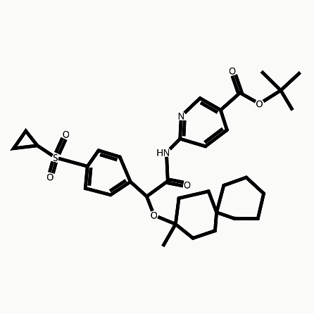 CC(C)(C)OC(=O)c1ccc(NC(=O)C(OC2(C)CCC3(CCCCC3)CC2)c2ccc(S(=O)(=O)C3CC3)cc2)nc1